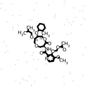 COc1ccnc(C(=O)N[C@H]2COC[C@H](OCC(C)C)[C@@H](OC3CCCCC3)[C@H](C)OC2=O)c1OCOC(C)=O